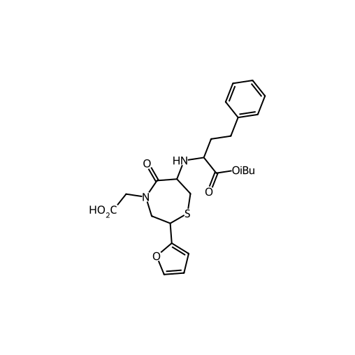 CC(C)COC(=O)C(CCc1ccccc1)NC1CSC(c2ccco2)CN(CC(=O)O)C1=O